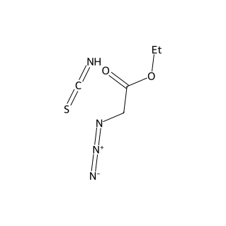 CCOC(=O)CN=[N+]=[N-].N=C=S